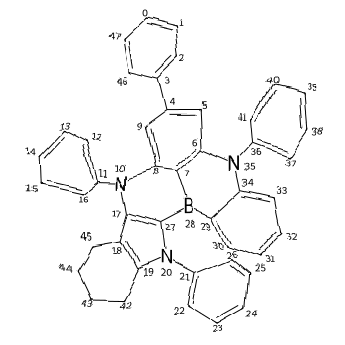 c1ccc(-c2cc3c4c(c2)N(c2ccccc2)c2c5c(n(-c6ccccc6)c2B4c2ccccc2N3c2ccccc2)CCCC5)cc1